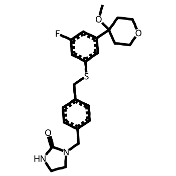 COC1(c2cc(F)cc(SCc3ccc(CN4CCNC4=O)cc3)c2)CCOCC1